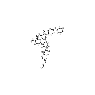 CCCCN1CCC(NC(=O)c2ccc(Nc3c(C(=O)NC4CCN(Cc5ccccc5)CC4)cnc4c(OC)cccc34)cc2)CC1